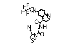 N#CC1CSCN1C(=O)CNC(=O)c1ccnc2ccc(N3CC(F)(C(F)(F)F)C3)cc12